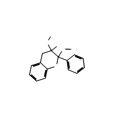 COC1(O)Cc2ccccc2OC1(OC)c1ccccc1